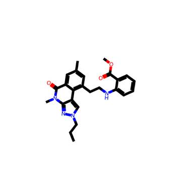 CCCn1cc2c3c(CCNc4ccccc4C(=O)OC)cc(C)cc3c(=O)n(C)c2n1